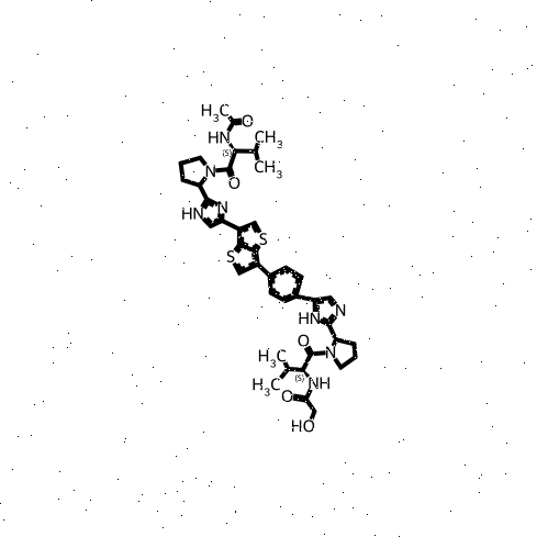 CC(=O)N[C@H](C(=O)N1CCCC1c1nc(-c2csc3c(-c4ccc(-c5cnc(C6CCCN6C(=O)[C@@H](NC(=O)CO)C(C)C)[nH]5)cc4)csc23)c[nH]1)C(C)C